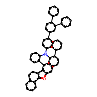 c1ccc(-c2ccc(-c3ccc(N(c4ccccc4-c4ccccc4)c4ccccc4-c4cccc5oc6c7ccccc7ccc6c45)cc3)cc2-c2ccccc2)cc1